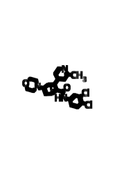 Cc1cc(-c2c(C(=O)Nc3ccc(Cl)c(Cl)c3)c3cc(N4CCOCC4)c2o3)ccn1